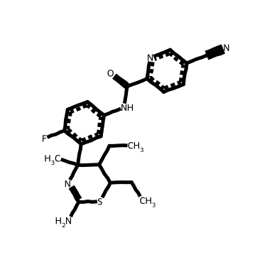 CCC1SC(N)=NC(C)(c2cc(NC(=O)c3ccc(C#N)cn3)ccc2F)C1CC